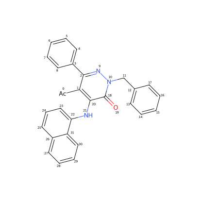 CC(=O)c1c(-c2ccccc2)nn(Cc2ccccc2)c(=O)c1Nc1cccc2ccccc12